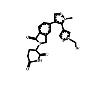 CC(C)Cn1cc(-c2c(-c3ccc4c(c3)CN(C3CCC(=O)NC3=O)C4=O)cnn2C)cn1